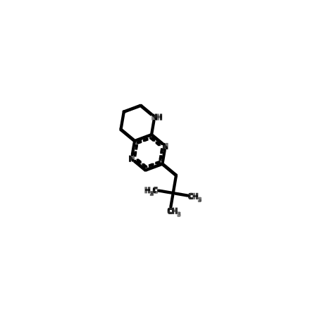 CC(C)(C)Cc1cnc2c(n1)NCCC2